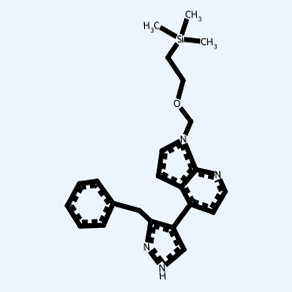 C[Si](C)(C)CCOCn1ccc2c(-c3c[nH]nc3Cc3ccccc3)ccnc21